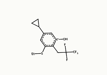 CCSc1cc(C2CC2)c[n+](O)c1[CH]C(F)(F)C(F)(F)F